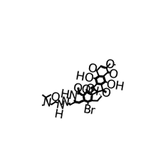 COC1=CC(=O)c2c(O)c3c(c(O)c2C1=O)C(=O)[C@]1(CCc2c1c(O)c1c(=O)[nH]c(C=NNC(=O)CN(C)C(C)C)cc1c2Br)C3=O